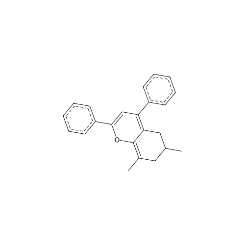 CC1=C2OC(c3ccccc3)=CC(c3ccccc3)=C2CC(C)C1